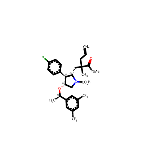 C=CCC(C)(C[C@H]1[C@H](c2ccc(F)cc2)[C@@H](O[C@H](C)c2cc(C(F)(F)F)cc(C(F)(F)F)c2)CN1C(=O)O)C(=O)OC